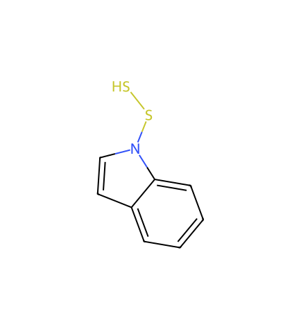 SSn1ccc2ccccc21